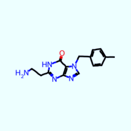 Cc1ccc(Cn2cnc3nc(CCN)[nH]c(=O)c32)cc1